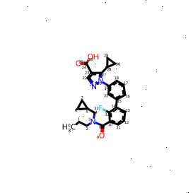 CCCN(CC1CC1)C(=O)c1cccc(-c2cccc(-n3ncc(C(=O)O)c3C3CC3)c2)c1F